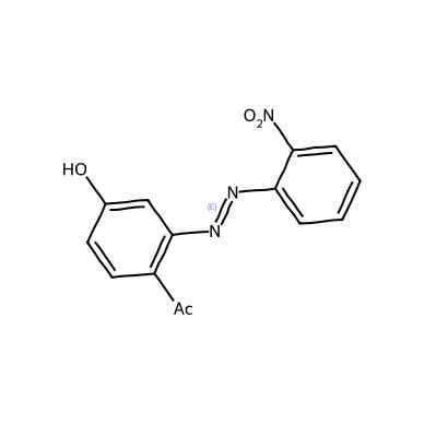 CC(=O)c1ccc(O)cc1/N=N/c1ccccc1[N+](=O)[O-]